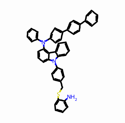 Nc1ccccc1SCc1ccc(-n2c3ccccc3c3c(N(c4ccccc4)c4ccc(-c5ccc(-c6ccccc6)cc5)cc4)cccc32)cc1